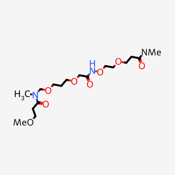 CNC(=O)CCOCCONC(=O)COCCCOCN(C)C(=O)CCOC